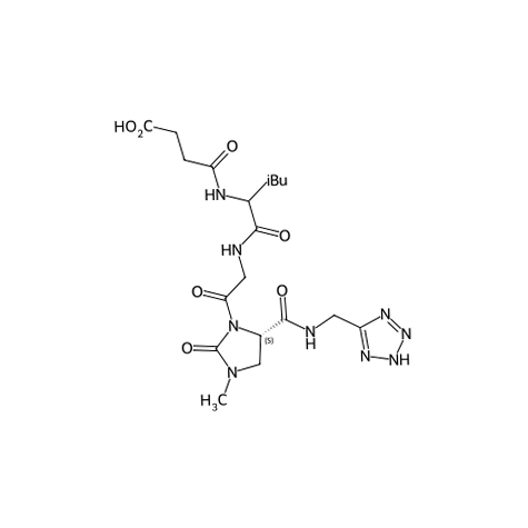 CCC(C)C(NC(=O)CCC(=O)O)C(=O)NCC(=O)N1C(=O)N(C)C[C@H]1C(=O)NCc1nn[nH]n1